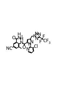 Cc1cc(C#N)cc(C(N)=O)c1NC(=O)c1cc(Cn2nnc(C(F)(F)C(F)(F)F)n2)nn1-c1ncccc1Cl